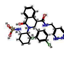 O=C(NCC1=CNNC=C1)[C@@H]1c2ccccc2C(=O)N([C@H]2CCCC[C@@H]2N[SH](=O)=O)[C@H]1c1ccc(Cl)cc1Cl